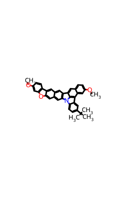 COc1ccc2c(c1)oc1cc3cc4c(cc3cc12)c1cc2ccc(OC)cc2c2c3cc(C(C)(C)C)ccc3n4c12